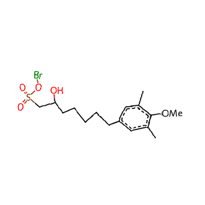 COc1c(C)cc(CCCCCC(O)CS(=O)(=O)OBr)cc1C